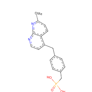 COc1ccc2c(Cc3ccc(CP(=O)(O)O)cc3)ccnc2n1